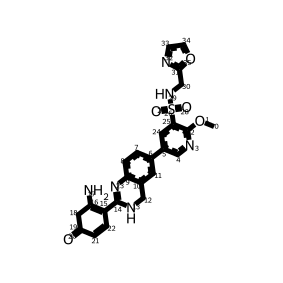 COc1ncc(-c2ccc3c(c2)CNC(C2=C(N)CC(=O)C=C2)=N3)cc1S(=O)(=O)NCc1ncco1